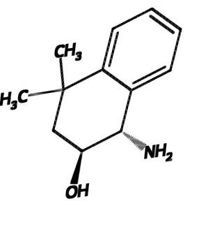 CC1(C)C[C@H](O)[C@@H](N)c2ccccc21